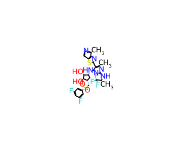 Cc1nc(N[C@H](C)C(F)(F)F)nc(N[C@@H]2C[C@H](CS(=O)(=O)c3cc(F)cc(F)c3)[C@@H](O)[C@H]2O)c1-c1nc2c(C)nccc2s1